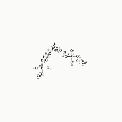 O.O.O.O.O.O.O.O.O=P([O-])([O-])[O-].O=P([O-])([O-])[O-].[Co+2].[Co+2].[Co+2]